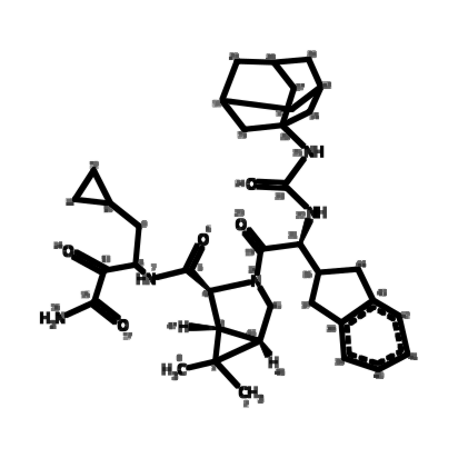 CC1(C)[C@@H]2[C@@H](C(=O)NC(CC3CC3)C(=O)C(N)=O)N(C(=O)[C@@H](NC(=O)NC34CC5CC(CC(C5)C3)C4)C3Cc4ccccc4C3)C[C@@H]21